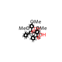 COc1cc(O)c(C(=O)C=Cc2ccccc2)c(OC)c1.COc1cc(O)c(C(=O)c2ccccc2)c(OC)c1